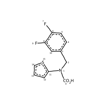 O=C(O)N(Cc1ccc(F)c(F)c1)c1cccs1